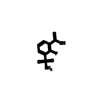 NS(=O)(=O)c1cccc(C(=O)O)c1F